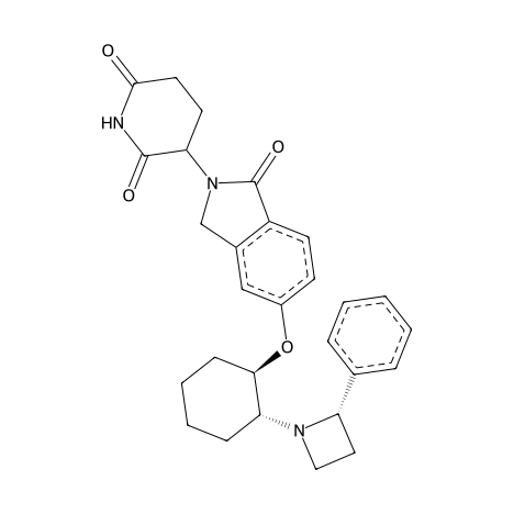 O=C1CCC(N2Cc3cc(O[C@@H]4CCCC[C@H]4N4CC[C@H]4c4ccccc4)ccc3C2=O)C(=O)N1